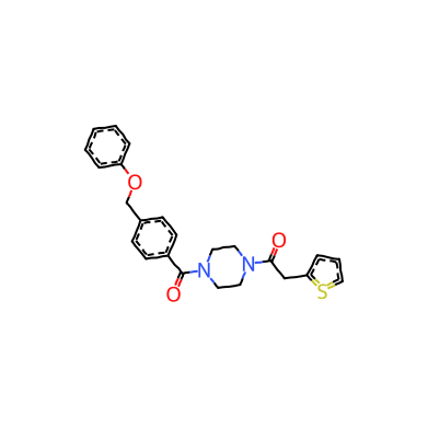 O=C(Cc1cccs1)N1CCN(C(=O)c2ccc(COc3ccccc3)cc2)CC1